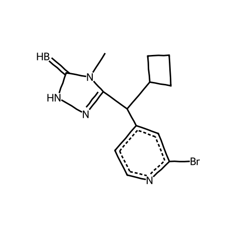 B=C1NN=C(C(c2ccnc(Br)c2)C2CCC2)N1C